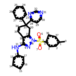 Cc1ccc(S(=O)(=O)n2nc(Nc3ccccc3)c3c2CC(c2ccccc2)(c2ccncn2)C=C3)cc1